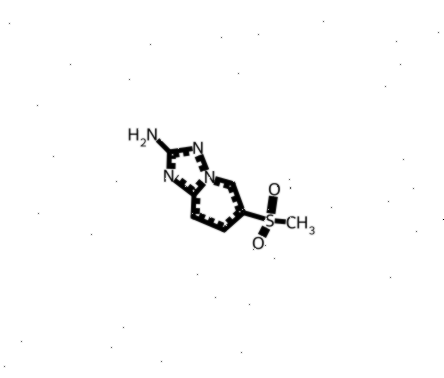 CS(=O)(=O)c1ccc2nc(N)nn2c1